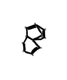 C1=CC2C=C3C=CC2(C=C1)O3